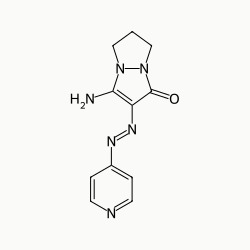 Nc1c(N=Nc2ccncc2)c(=O)n2n1CCC2